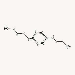 CC(C)(C)CCOc1ccc(CCCCO)cc1